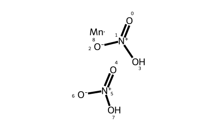 O=[N+]([O-])O.O=[N+]([O-])O.[Mn]